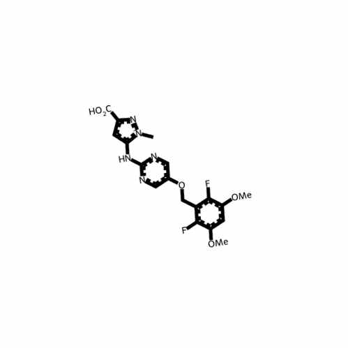 COc1cc(OC)c(F)c(COc2cnc(Nc3cc(C(=O)O)nn3C)nc2)c1F